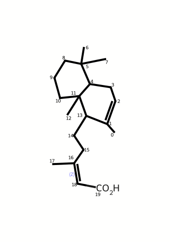 CC1=CCC2C(C)(C)CCCC2(C)C1CC/C(C)=C\C(=O)O